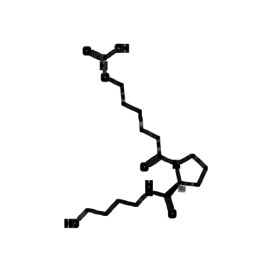 O=C(NCCCCO)[C@@H]1CCCN1C(=O)CCCCCO[PH](=O)O